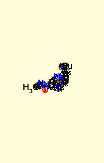 Cc1ccc2c(NC(=O)c3cn(C)cn3)cccc2c1Oc1ncccc1-c1ccnc(NC2CCCN(C(=O)OC(C)(C)C)C2)n1